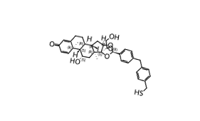 C[C@]12C[C@H](O)[C@H]3[C@@H](CCC4=CC(=O)C=C[C@@]43C)[C@]1(I)C[C@H]1O[C@@H](c3ccc(Cc4ccc(CS)cc4)cc3)O[C@]12C(=O)CO